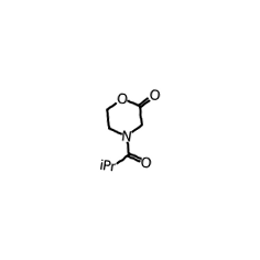 CC(C)C(=O)N1CCOC(=O)C1